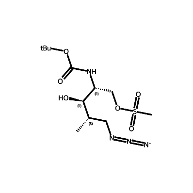 C[C@@H](CN=[N+]=[N-])[C@@H](O)[C@@H](COS(C)(=O)=O)NC(=O)OC(C)(C)C